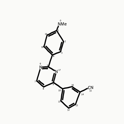 CNc1ccc(-c2nccc(-c3cccc(C#N)c3)n2)cc1